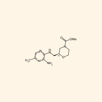 COC(=O)N1CCO[C@@H](CNc2ncc(C)cc2N)C1